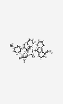 Nc1ncnc2c1c1cccc(-c3ccccc3)c1n2CC(=O)N1C2C[C@@H]2C[C@H]1C(=O)Nc1cccc(Br)n1